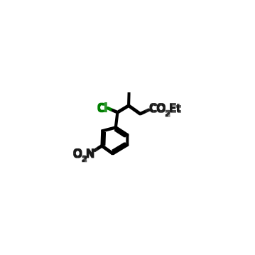 CCOC(=O)CC(C)C(Cl)c1cccc([N+](=O)[O-])c1